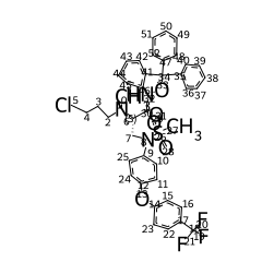 CN(CCCCl)[C@@H](CN(c1ccc(Oc2ccc(C(F)(F)F)cc2)cc1)S(C)(=O)=O)C(=O)NOC(c1ccccc1)(c1ccccc1)c1ccccc1